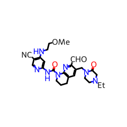 CCN1CCN(Cc2cc3c(nc2C=O)N(C(=O)Nc2cc(NCCOC)c(C#N)cn2)CCC3)C(=O)C1